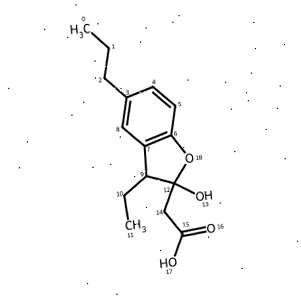 CCCc1ccc2c(c1)C(CC)C(O)(CC(=O)O)O2